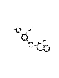 Cc1cn(-c2ccc(-c3cn(C4CCc5ccccc5N(CC(F)(F)F)C4=O)nn3)cc2OCC(F)(F)F)cn1